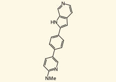 CNc1ccc(-c2ccc(-c3cc4ccncc4[nH]3)cc2)cn1